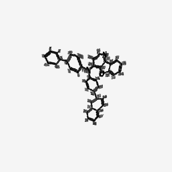 c1ccc(-c2ccc(N(c3ccc(-c4ccc5ccccc5c4)cc3)c3ccnc4c3oc3ccccc34)cc2)cc1